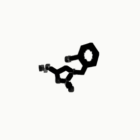 CC1CN(Cc2ccccc2Cl)S(=O)O1